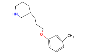 Cc1[c]ccc(OCCCC2CCCNC2)c1